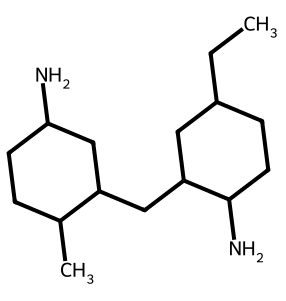 CCC1CCC(N)C(CC2CC(N)CCC2C)C1